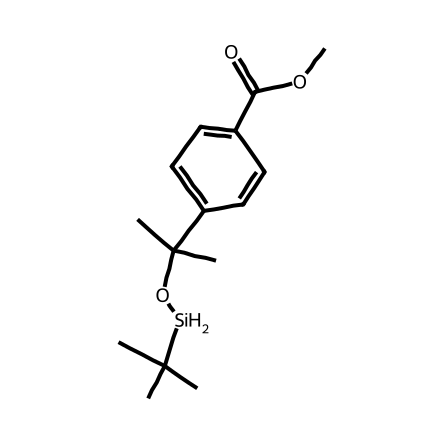 COC(=O)c1ccc(C(C)(C)O[SiH2]C(C)(C)C)cc1